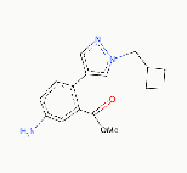 COC(=O)c1cc(N)ccc1-c1cnn(CC2CCC2)c1